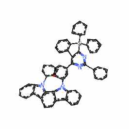 c1ccc(-c2nc(-c3cccc(-n4c5ccccc5c5ccc6c7ccccc7n(-c7ccccc7)c6c54)c3)c3c(n2)[Si](c2ccccc2)(c2ccccc2)c2ccccc2-3)cc1